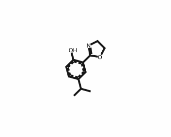 CC(C)c1ccc(O)c(C2=NCCO2)c1